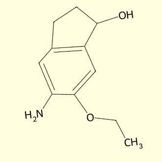 CCOc1cc2c(cc1N)CCC2O